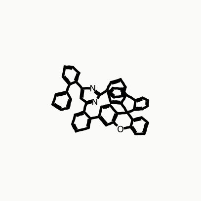 c1ccc(-c2nc(-c3ccccc3-c3ccccc3)cc(-c3ccccc3-c3ccc4c(c3)Oc3ccccc3C43c4ccccc4-c4ccccc43)n2)cc1